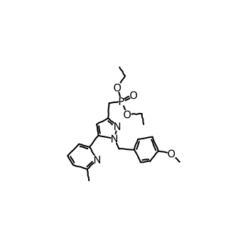 CCOP(=O)(Cc1cc(-c2cccc(C)n2)n(Cc2ccc(OC)cc2)n1)OCC